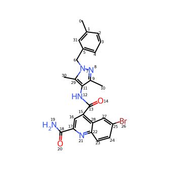 Cc1cccc(Cn2nc(C)c(NC(=O)c3cc(C(N)=O)nc4ccc(Br)cc34)c2C)c1